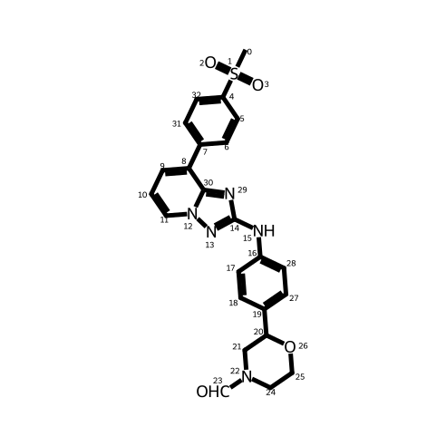 CS(=O)(=O)c1ccc(-c2cccn3nc(Nc4ccc(C5CN(C=O)CCO5)cc4)nc23)cc1